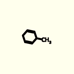 CC1C=CCC=C1